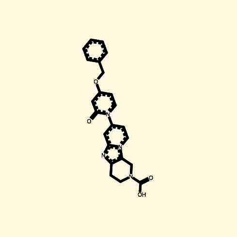 O=C(O)N1CCc2nc3cc(-n4ccc(OCc5ccccc5)cc4=O)ccn3c2C1